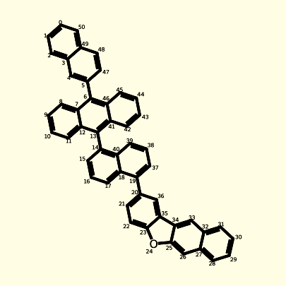 c1ccc2cc(-c3c4ccccc4c(-c4cccc5c(-c6ccc7oc8cc9ccccc9cc8c7c6)cccc45)c4ccccc34)ccc2c1